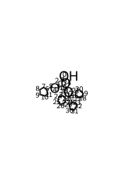 OC1C[C@H](OCc2ccccc2)[C@H](COC(c2ccccc2)(c2ccccc2)c2ccccc2)O1